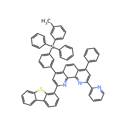 Cc1cccc([Si](c2ccccc2)(c2ccccc2)c2cccc(-c3cc(-c4cccc5c4sc4ccccc45)nc4c3ccc3c(-c5ccccc5)cc(-c5ccccn5)nc34)c2)c1